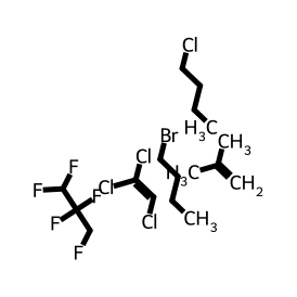 C=C(C)C.CCCCBr.CCCCCl.ClC=C(Cl)Cl.FCC(F)(F)C(F)F